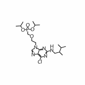 CC(C)OP(=O)(COCCn1cnc2c(Cl)nc(NCC(C)C(C)C)nc21)OC(C)C